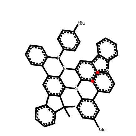 CC(C)(C)c1ccc(N2B3c4cc5c(cc4N(c4ccc(C(C)(C)C)cc4-c4ccccc4)c4c3c(cc3c4C(C)(C)c4ccccc4-3)-c3ccccc32)sc2ccccc25)cc1